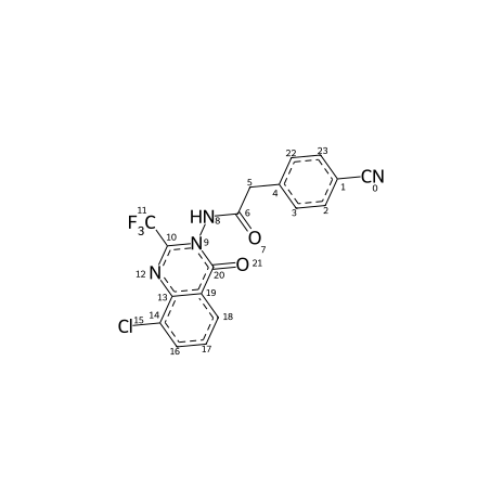 N#Cc1ccc(CC(=O)Nn2c(C(F)(F)F)nc3c(Cl)cccc3c2=O)cc1